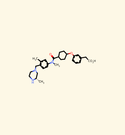 Cc1cc(N(C)C(=O)C2CCC(Oc3cccc(CC(=O)O)c3)CC2)ccc1CN1CCN[C@@H](C)C1